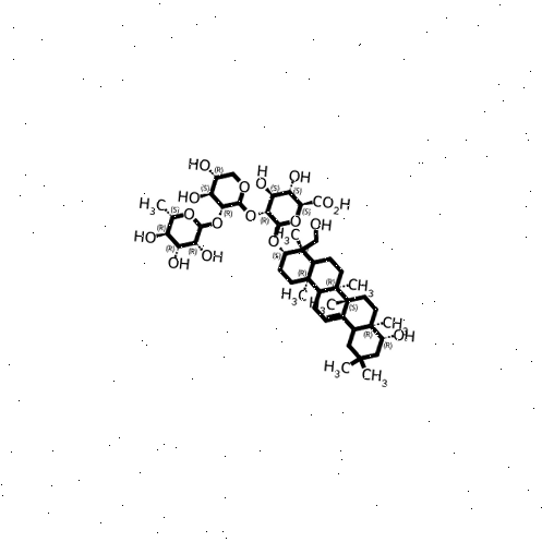 C[C@@H]1OC(O[C@H]2C(O[C@H]3C(O[C@H]4CC[C@@]5(C)C(CC[C@]6(C)C5CC=C5C7CC(C)(C)C[C@@H](O)[C@]7(C)CC[C@]56C)[C@@]4(C)CO)O[C@H](C(=O)O)[C@@H](O)[C@@H]3O)OC[C@@H](O)[C@@H]2O)[C@H](O)[C@H](O)[C@H]1O